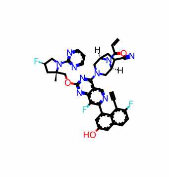 C#Cc1c(F)ccc2cc(O)cc(-c3ncc4c(N5C[C@H]6CC(C#N)[C@@H](C5)N6C(=O)C=C)nc(OC[C@]5(C)C[C@@H](F)CN5c5ncccn5)nc4c3F)c12